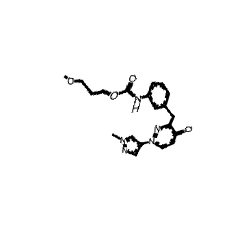 COCCCOC(=O)Nc1cccc(Cc2nn(-c3cnn(C)c3)ccc2=O)c1